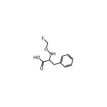 O=C(O)C(Cc1ccccc1)NOCF